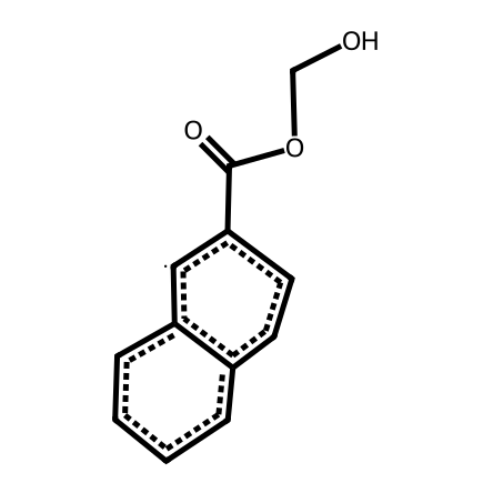 O=C(OCO)c1[c]c2ccccc2cc1